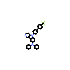 FC(F)(F)c1ccc(-c2ccc(-n3c4ccncc4c4cc(N(c5ccccc5)c5ccccc5)ccc43)cc2)cc1